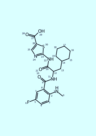 CNc1ccc(F)cc1C(=O)NC(CC1CCCCC1)C(=O)Nc1ncc(C(=O)O)s1